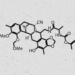 C=C(C)OC(=O)NC(C)C(=O)NCC1c2c(c(O)c(C)c3c2OCO3)C[C@H]2C3c4c(cc(C)c(OC)c4OCOC)CC([C@H](C#N)N12)N3C